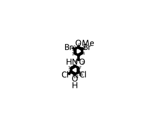 COc1c(Br)cc(C(=O)Nc2cc(Cl)c(O)c(Cl)c2)cc1Br